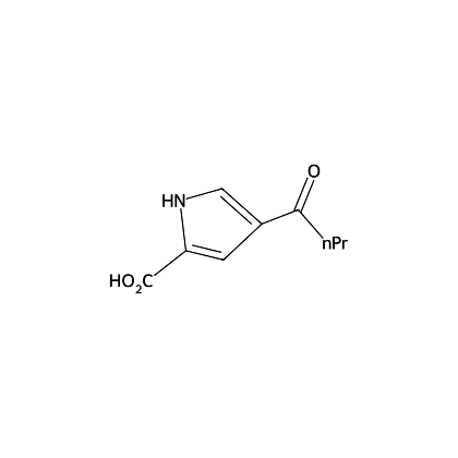 CCCC(=O)c1c[nH]c(C(=O)O)c1